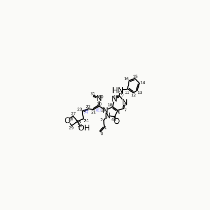 C=CCn1c(=O)c2cnc(Nc3ccccc3)nc2n1/C(=C/C=C\CC1(O)COC1)N=C